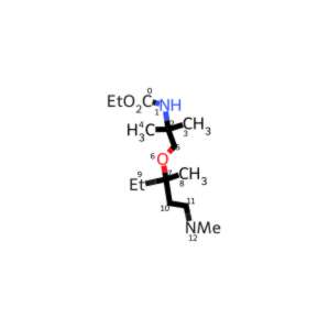 CCOC(=O)NC(C)(C)COC(C)(CC)CCNC